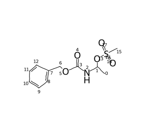 CC(NC(=O)OCc1ccccc1)OS(C)(=O)=O